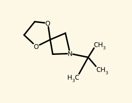 CC(C)(C)N1CC2(C1)OCCO2